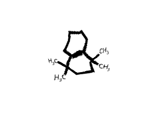 CC1(C)CCC(C)(C)C2=C1CCCC2